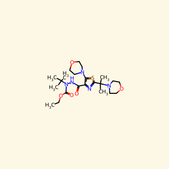 CCOC(=O)N(NC(=O)c1nc(C(C)(C)N2CCOCC2)sc1N1CCOCC1)C(C)(C)C